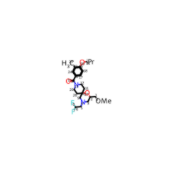 COCC1CN(CC(F)F)CC2(CCN(C(=O)c3ccc(OC(C)C)c(C)c3)CC2)O1